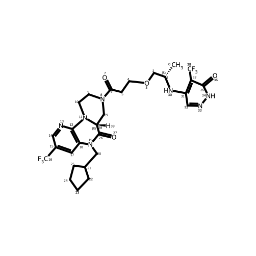 C[C@@H](COCCC(=O)N1CCN2c3ncc(C(F)(F)F)cc3N(CC3CCCC3)C(=O)[C@H]2C1)Nc1cn[nH]c(=O)c1C(F)(F)F